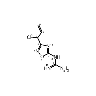 C=CC(Cl)c1noc(NC(=N)N)n1